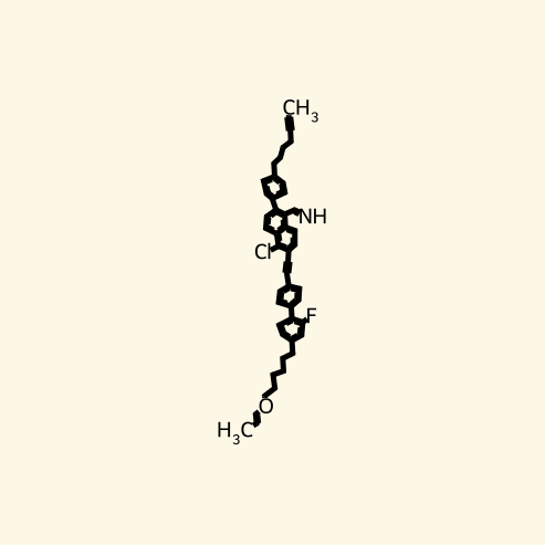 CC#CCCCCc1ccc(-c2ccc3c(Cl)c(C#Cc4ccc(-c5ccc(CCCCCCO/C=C/C)cc5F)cc4)ccc3c2C=N)cc1